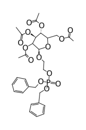 CC(=O)OCC1O[C@@H](OCCOP(=O)(OCc2ccccc2)OCc2ccccc2)C(OC(C)=O)[C@@H](OC(C)=O)[C@@H]1OC(C)=O